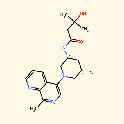 Cc1ncc(N2C[C@@H](C)C[C@@H](NC(=O)CC(C)(C)O)C2)c2cccnc12